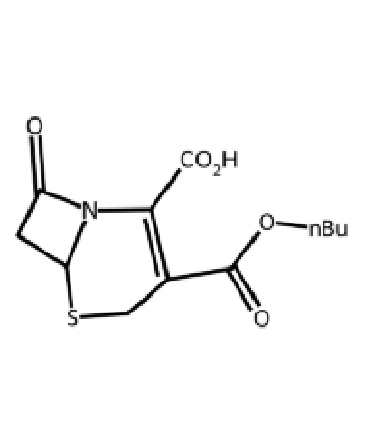 CCCCOC(=O)C1=C(C(=O)O)N2C(=O)CC2SC1